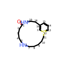 O=C1CCCCNCCCCCS2=CC=CC(=C2)CCN1